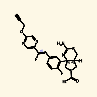 C#CCOc1cnc(/C(F)=C/c2ccc(F)c([C@]34CN(C(=O)CC)C[C@H]3CSC(N)=N4)c2)cn1